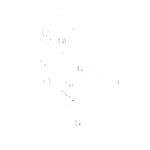 CCC(Nc1c(C#N)cnc2c(Cl)cc(NC(c3ccc(F)cc3)c3cn(-c4cccnc4)nn3)cc12)c1ccccc1